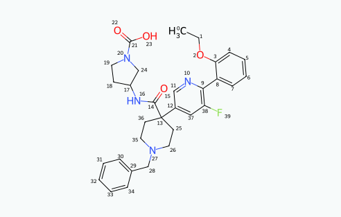 CCOc1ccccc1-c1ncc(C2(C(=O)NC3CCN(C(=O)O)C3)CCN(Cc3ccccc3)CC2)cc1F